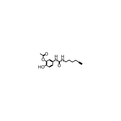 C#CCCCCNC(=O)Nc1ccc(O)c(OC(C)=O)c1